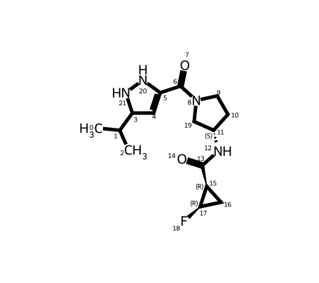 CC(C)C1C=C(C(=O)N2CC[C@H](NC(=O)[C@H]3C[C@H]3F)C2)NN1